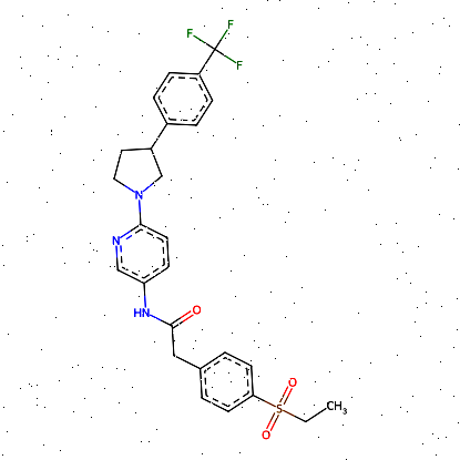 CCS(=O)(=O)c1ccc(CC(=O)Nc2ccc(N3CCC(c4ccc(C(F)(F)F)cc4)C3)nc2)cc1